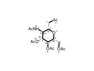 CC(=O)C[C@@H]1O[C@H](COC(C)=O)[C@@H](OC(C)=O)[C@H](OC(C)=O)[C@H]1NC(C)=O